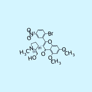 COc1cc(OC)c2c(=O)c([C@H]3CCN(C)[C@@H]3CO)c(-c3cc([N+](=O)[O-])ccc3Br)oc2c1